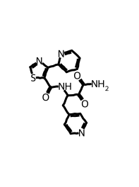 NC(=O)C(=O)C(Cc1ccncc1)NC(=O)c1scnc1-c1ccccn1